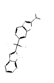 CC(C)c1cc2ccc(C(C)(C)c3cc4ccccc4[nH]3)cc2o1